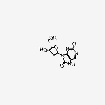 O=c1[nH]c2cnc(Cl)nc2n1[C@H]1C[C@@H](O)[C@H](CO)O1